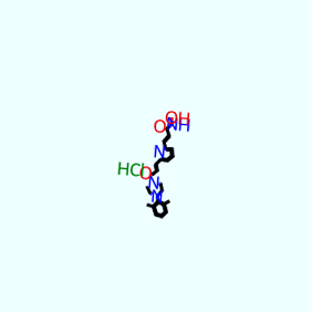 Cc1cccc(C)c1N1CCN(C(=O)/C=C/c2cccc(/C=C/C(=O)NO)n2)CC1.Cl